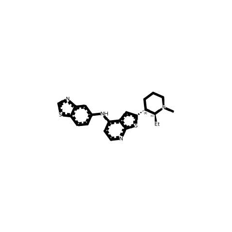 CC[C@H]1[C@H](c2cc3c(Nc4ccc5scnc5c4)ccnc3s2)CCCN1C